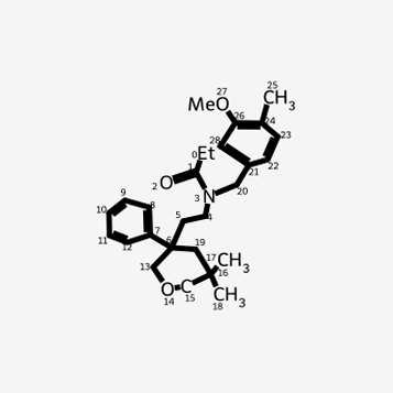 CCC(=O)N(CCC1(c2ccccc2)COCC(C)(C)C1)Cc1ccc(C)c(OC)c1